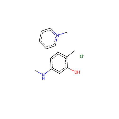 CNc1ccc(C)c(O)c1.C[n+]1ccccc1.[Cl-]